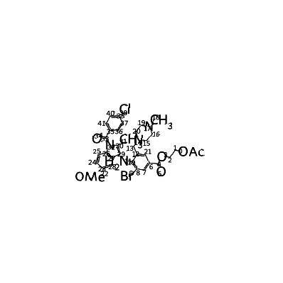 CC(=O)OCCOC(=O)c1cc(Br)c(N)c(CN2CCN(C)CC2)c1.COc1ccc2c(c1)cc(C)n2C(=O)c1ccc(Cl)cc1